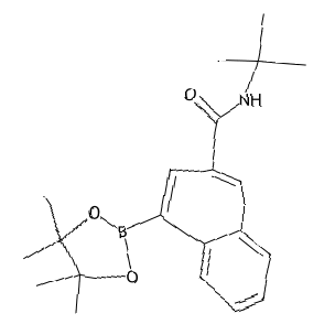 CC(C)(C)NC(=O)c1cc(B2OC(C)(C)C(C)(C)O2)c2ccccc2c1